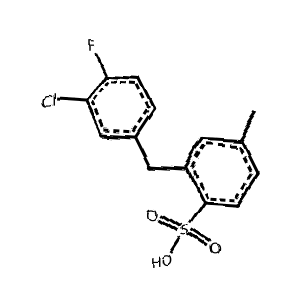 Cc1ccc(S(=O)(=O)O)c(Cc2ccc(F)c(Cl)c2)c1